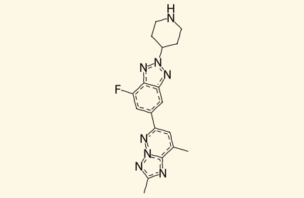 Cc1nc2c(C)cc(-c3cc(F)c4nn(C5CCNCC5)nc4c3)nn2n1